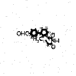 Cc1c(-c2ccc(C=O)cc2)cccc1N1CCC(=O)NC1=O